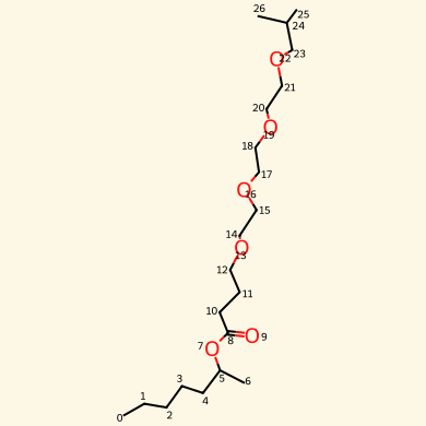 CCCCCC(C)OC(=O)CCCOCCOCCOCCOCC(C)C